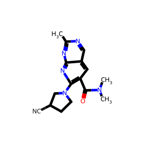 Cc1ncc2cc(C(=O)N(C)C)c(N3CCC(C#N)C3)nc2n1